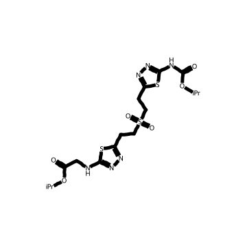 CC(C)OC(=O)CNc1nnc(CCS(=O)(=O)CCc2nnc(NC(=O)OC(C)C)s2)s1